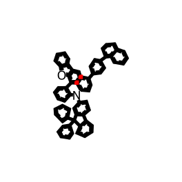 c1ccc(C2(c3ccccc3)c3ccccc3-c3ccc(N(c4ccc(-c5ccc(-c6cccc7ccccc67)cc5)cc4)c4ccccc4-c4cccc5c4oc4ccccc45)cc32)cc1